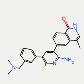 Cc1c[nH]c(=O)c2ccc(-c3cc(-c4cccc(CN(C)C)c4)c(F)nc3N)cc12